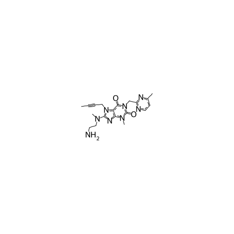 CC#CCn1c(N(C)CCN)nc2c1c(=O)n(Cc1nccc(C)n1)c(=O)n2C